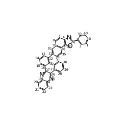 c1ccc(-c2nc3ccc4cc(-c5cccc(-c6nc7ccccc7nc6-c6ccccc6)c5)ccc4c3o2)cc1